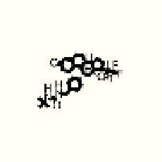 CC(C)(C)NC(=O)NCc1ccc([C@H]2C[C@@]3(C)[C@@H](CC[C@@]3(O)C(F)(F)C(F)(F)F)[C@@H]3CCC4=CC(=O)CCC4=C32)cc1